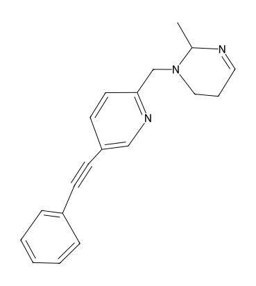 CC1N=CCCN1Cc1ccc(C#Cc2ccccc2)cn1